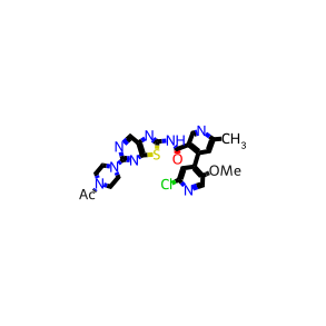 COc1cnc(Cl)cc1-c1cc(C)ncc1C(=O)Nc1nc2cnc(N3CCN(C(C)=O)CC3)nc2s1